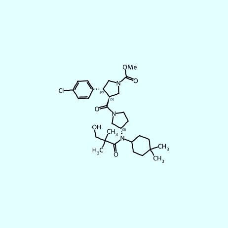 COC(=O)N1C[C@@H](C(=O)N2CC[C@H](N(C(=O)C(C)(C)CO)C3CCC(C)(C)CC3)C2)[C@H](c2ccc(Cl)cc2)C1